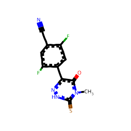 Cn1c(=S)[nH]nc(-c2cc(F)c(C#N)cc2F)c1=O